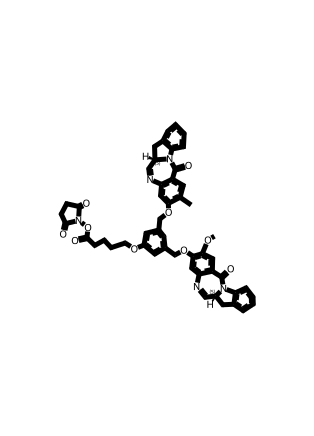 COc1cc2c(cc1OCc1cc(COc3cc4c(cc3C)C(=O)N3c5ccccc5C[C@H]3C=N4)cc(OCCCCC(=O)ON3C(=O)CCC3=O)c1)N=C[C@@H]1Cc3ccccc3N1C2=O